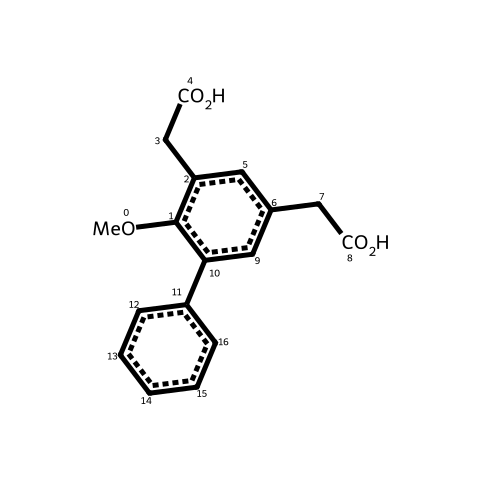 COc1c(CC(=O)O)cc(CC(=O)O)cc1-c1ccccc1